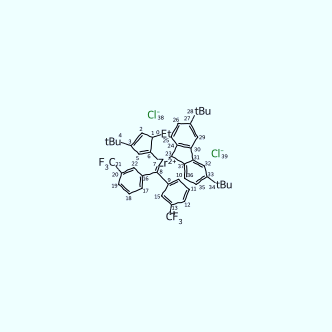 CCC1C=C(C(C)(C)C)C=[C]1[Zr+2](=[C](c1cccc(C(F)(F)F)c1)c1cccc(C(F)(F)F)c1)[CH]1c2ccc(C(C)(C)C)cc2-c2cc(C(C)(C)C)ccc21.[Cl-].[Cl-]